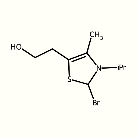 CC1=C(CCO)SC(Br)N1C(C)C